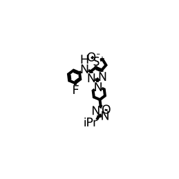 CC(C)c1noc(C2CCN(c3nc4c(c(Nc5cccc(F)c5)n3)[S+]([O-])CC4)CC2)n1